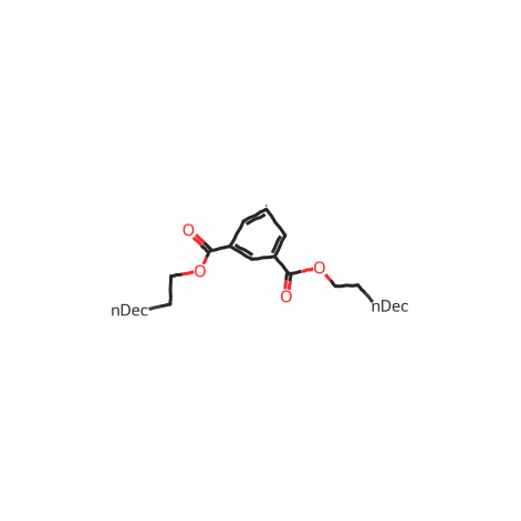 CCCCCCCCCCCCOC(=O)c1c[c]cc(C(=O)OCCCCCCCCCCCC)c1